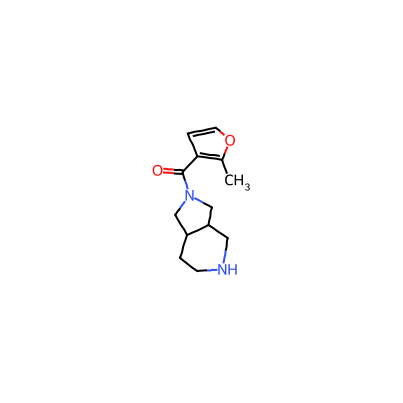 Cc1occc1C(=O)N1CC2CCNCC2C1